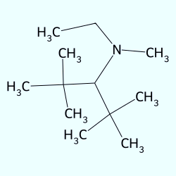 CCN(C)C(C(C)(C)C)C(C)(C)C